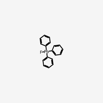 [F][Pb]([c]1ccccc1)([c]1ccccc1)[c]1ccccc1